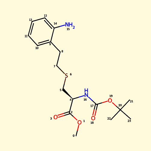 COC(=O)[C@@H](CSCCc1ccccc1N)NC(=O)OC(C)(C)C